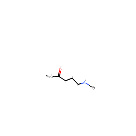 COC(=O)CCC[N]C(C)C